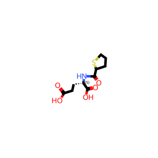 O=C(O)CC[C@H](NC(=O)C1CCCS1)C(=O)O